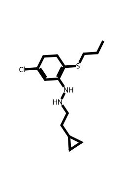 CCCSC1=C(NNCCC2CC2)C=C(Cl)CC1